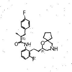 C[C@@H](Cc1ccc(F)cc1)C(=O)Nc1cccc(F)c1CC[C@@H]1CNCC2(CCCC2)O1